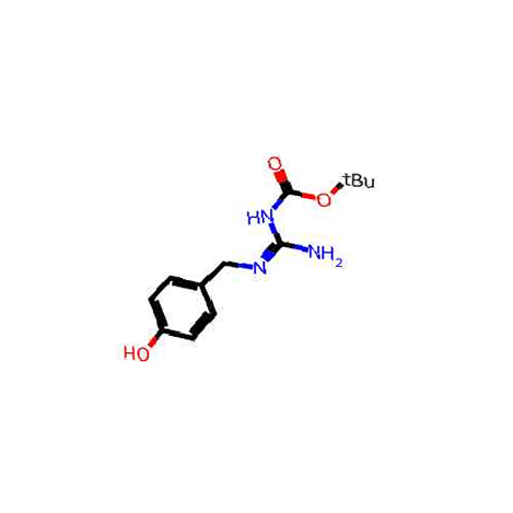 CC(C)(C)OC(=O)NC(N)=NCc1ccc(O)cc1